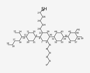 CCCCCCC1CC(C2CCC(C(CC)CCCC)CC2)C(CCCCCS)CC1C1CCC(C2CCC(C)C(C)C2)CC1